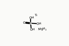 O=P(O)(O)O.[MgH2].[Ti]